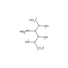 O=C(O)C(O)C(O)C(O)C(O)C(=O)O.[NaH]